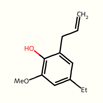 C=CCc1cc(CC)cc(OC)c1O